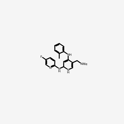 CNCC1=CNC(Nc2ccc(F)cn2)C=C1Nc1ccccc1C